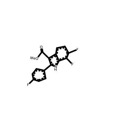 COC(=O)c1c(-c2ccc(F)cc2)[nH]c2c(F)c(F)ccc12